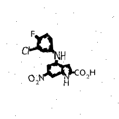 O=C(O)c1cc2c(Nc3ccc(F)c(Cl)c3)cc([N+](=O)[O-])cc2[nH]1